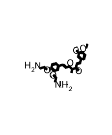 CCOc1ccc(/C=C/C(=O)C(C)C(=O)/C=C/c2ccc(OCCN)c(OCCN)c2)cc1OC